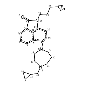 O=C1c2cccc3c(N4CCCN(CC5CC5)CC4)ccc(c23)N1CCCC(F)(F)F